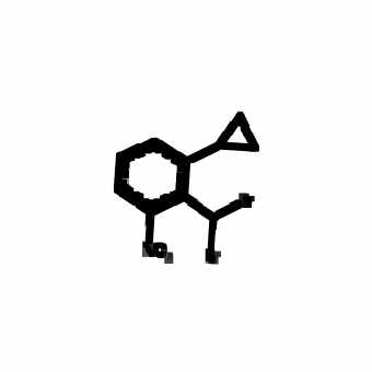 O=[N+]([O-])c1cccc(C2CC2)c1C(Br)Br